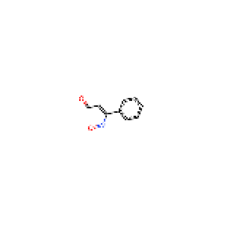 O=CC=C(N=O)c1ccccc1